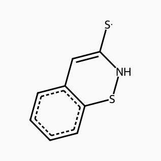 [S]C1=Cc2ccccc2SN1